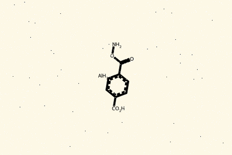 NOC(=O)c1ccc(C(=O)O)cc1.[AlH3]